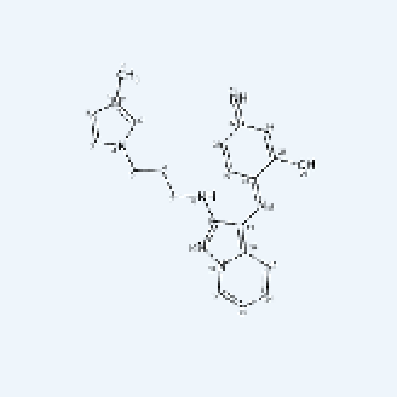 C[n+]1ccn(CCCNc2nn3ccccc3c2/N=C2\C=CC(=N)C=C2O)c1